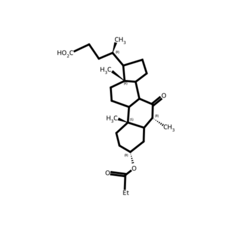 CCC(=O)O[C@@H]1CC[C@]2(C)C3CC[C@@]4(C)C(CCC4[C@H](C)CCC(=O)O)C3C(=O)[C@H](C)C2C1